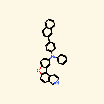 c1ccc(N(c2ccc(-c3ccc4ccccc4c3)cc2)c2ccc3oc4ccc5cnccc5c4c3c2)cc1